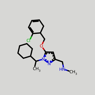 CNCc1cc(OCC2CC=CC=C2Cl)n(C(C)C2CCCCC2)n1